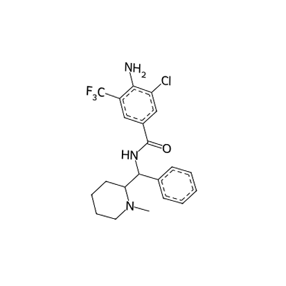 CN1CCCCC1C(NC(=O)c1cc(Cl)c(N)c(C(F)(F)F)c1)c1ccccc1